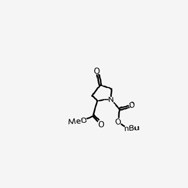 CCCCOC(=O)N1CC(=O)CC1C(=O)OC